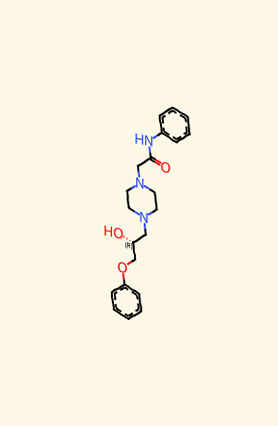 O=C(CN1CCN(C[C@@H](O)COc2ccccc2)CC1)Nc1ccccc1